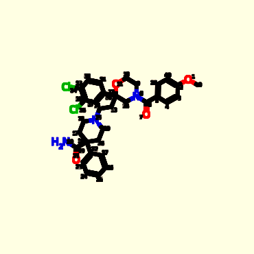 COc1ccc(C(=O)N2CCOC(CCN3CCC(C(N)=O)(c4ccccc4)CC3)(c3ccc(Cl)c(Cl)c3)C2)cc1